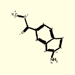 COC(=O)c1ccc2ccc(N)cc2c1